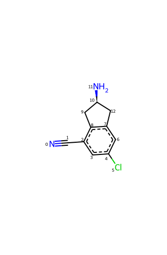 N#Cc1cc(Cl)cc2c1C[C@@H](N)C2